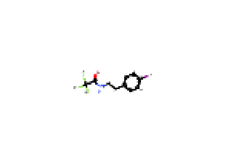 O=C(NCCc1ccc(I)cc1)C(F)(F)F